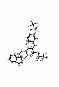 CC(C)(C)[Si](C)(C)Oc1ccc(F)c(CC(CN2CCC3(CC2)OCc2ccccc23)C(=O)OC(=O)C(F)(F)F)c1